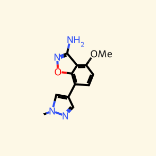 COc1ccc(-c2cnn(C)c2)c2onc(N)c12